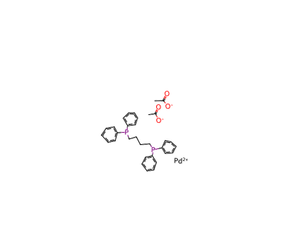 CC(=O)[O-].CC(=O)[O-].[Pd+2].c1ccc(P(CCCCP(c2ccccc2)c2ccccc2)c2ccccc2)cc1